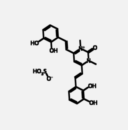 Cn1c(C=Cc2cccc(O)c2O)cc(C=Cc2cccc(O)c2O)[n+](C)c1=O.O=S(=O)([O-])O